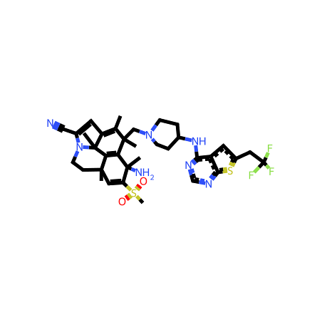 CC1=C2C=C(C#N)N3CCC4(C)C=C(S(C)(=O)=O)C(C)(N)C(=C4C23C)C1(C)CN1CCC(Nc2ncnc3sc(CC(F)(F)F)cc23)CC1